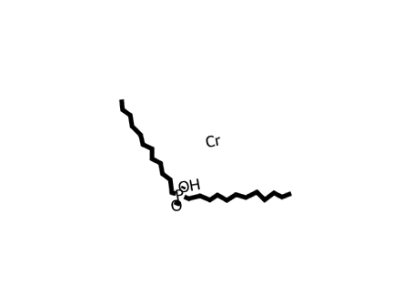 CCCCCCCCCCCCP(=O)(O)CCCCCCCCCCCC.[Cr]